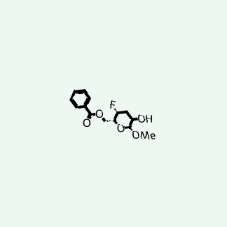 CO[C@H]1O[C@H](COC(=O)c2ccccc2)[C@H](F)CC1O